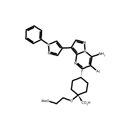 COCCO[C@]1(C(=O)O)CC[C@H](c2nc3c(-c4cnn(-c5ccccc5)c4)cnn3c(N)c2C(C)=O)CC1